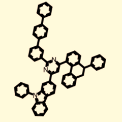 c1ccc(-c2ccc(-c3cccc(-c4nc(-c5ccc6c7ccccc7n(-c7ccccc7)c6c5)cc(-c5cccc6c5-c5ccccc5CC6c5ccccc5)n4)c3)cc2)cc1